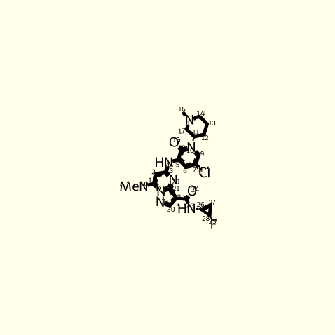 CNc1cc(Nc2cc(Cl)cn([C@H]3CCCN(C)C3)c2=O)nc2c(C(=O)N[C@@H]3C[C@@H]3F)cnn12